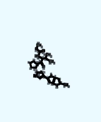 Bc1cc2sc(-c3c[nH]c([C@@H]4CCCN4C(=O)C(NC(=O)OC)C(C)C)n3)cc2s1